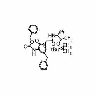 CC(C)C(NC(=O)Cn1cc(Cc2ccccc2)cc(NC(=O)OCc2ccccc2)c1=O)C(O[Si](C)(C)C(C)(C)C)C(F)(F)F